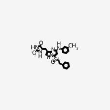 Cc1cccc(Nc2cc([S+]([O-])CCc3ccccc3)n3ncc(/C=C4\NC(=O)NC4=O)c3n2)c1